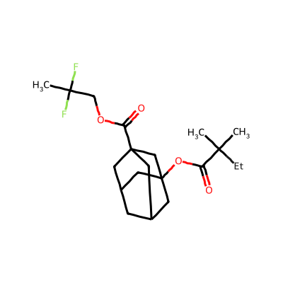 CCC(C)(C)C(=O)OC12CC3CC(C1)CC(C(=O)OCC(C)(F)F)(C3)C2